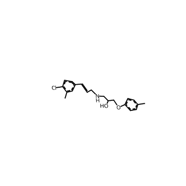 Cc1ccc(OCC(O)CNC/C=C/c2ccc(Cl)c(C)c2)cc1